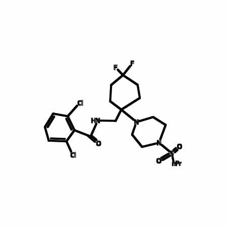 CCCS(=O)(=O)N1CCN(C2(CNC(=O)c3c(Cl)cccc3Cl)CCC(F)(F)CC2)CC1